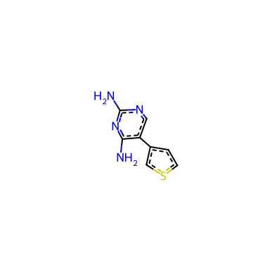 Nc1ncc(-c2ccsc2)c(N)n1